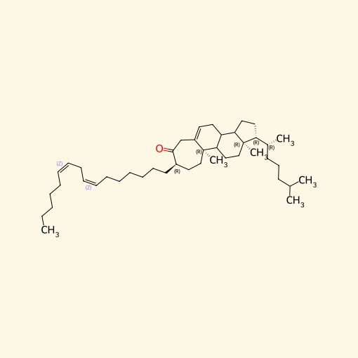 CCCCC/C=C\C/C=C\CCCCCC[C@@H]1CC[C@@]2(C)C(=CCC3C2CC[C@@]2(C)C3CC[C@@H]2[C@H](C)CCCC(C)C)CC1=O